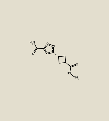 NNC(=O)[C@H]1C[C@H](c2cc(C(N)=O)on2)C1